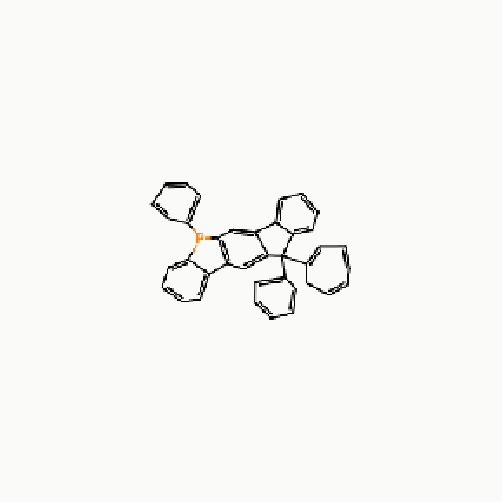 C1=CC=C(C2(c3ccccc3)c3ccccc3-c3cc4c(cc32)c2ccccc2p4-c2ccccc2)CC=C1